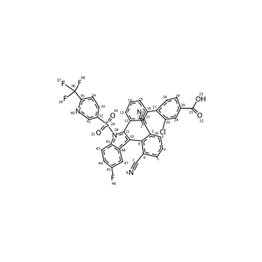 N#Cc1cccc(C#N)c1-c1c(-c2cccc(-c3ccc(C(=O)O)cc3Cl)c2)n(S(=O)(=O)c2ccc(C(F)(F)F)nc2)c2ccc(F)cc12